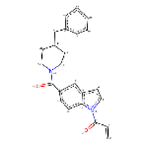 C=CC(=O)n1ccc2cc(C(=O)N3CCC(Cc4ccccc4)CC3)ccc21